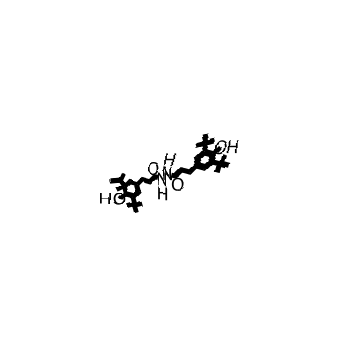 C=C(C)C1(C)CC(CCC(=O)NNC(=O)CCc2cc(C(C)(C)C)c(O)c(C(C)(C)C)c2)=CC(C(C)(C)C)=C1O